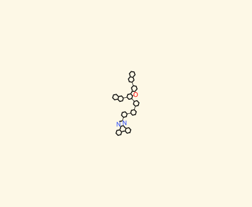 c1cc(-c2cccc(-c3cnc4c5ccccc5c5ccccc5c4n3)c2)cc(-c2cccc(-c3cc(-c4ccc5ccccc5c4)cc4c3oc3ccc(-c5ccc6ccccc6c5)cc34)c2)c1